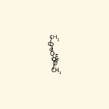 CCCCOc1ccc(C2CCC(OCC3CCC(CCC)OC3)CC2)c(F)c1F